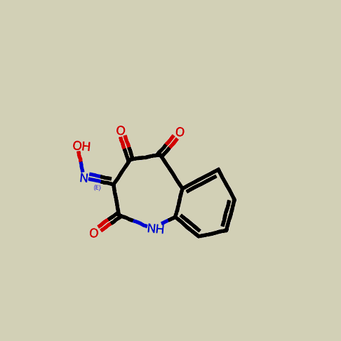 O=C1Nc2ccccc2C(=O)C(=O)/C1=N\O